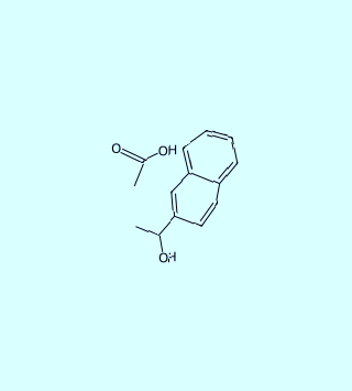 CC(=O)O.CC(O)c1ccc2ccccc2c1